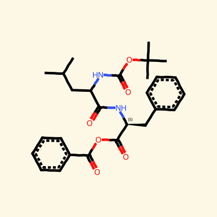 CC(C)CC(NC(=O)OC(C)(C)C)C(=O)N[C@@H](Cc1ccccc1)C(=O)OC(=O)c1ccccc1